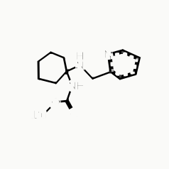 CC(C)(C)OC(=O)NC1(NCc2ccccn2)CCCCC1